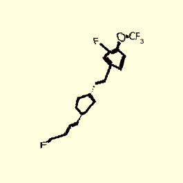 FCCC=C[C@H]1CC[C@H](CCc2ccc(OC(F)(F)F)c(F)c2)CC1